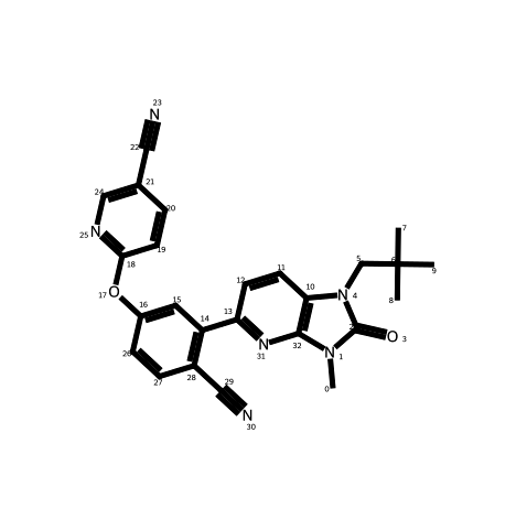 Cn1c(=O)n(CC(C)(C)C)c2ccc(-c3cc(Oc4ccc(C#N)cn4)ccc3C#N)nc21